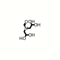 O=CN(CC(O)O)CC(O)O